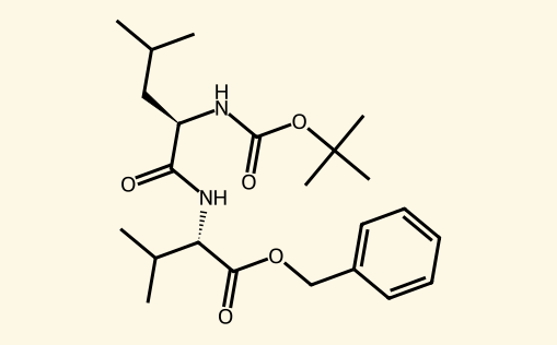 CC(C)C[C@@H](NC(=O)OC(C)(C)C)C(=O)N[C@H](C(=O)OCc1ccccc1)C(C)C